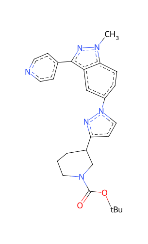 Cn1nc(-c2ccncc2)c2cc(-n3ccc(C4CCCN(C(=O)OC(C)(C)C)C4)n3)ccc21